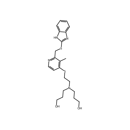 Cc1c(SCCN(CCCO)CCCO)ccnc1CSc1nc2ccccc2[nH]1